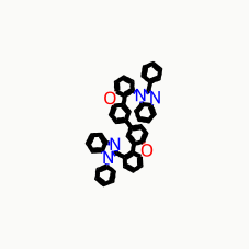 c1ccc(-c2nc3ccccc3n2-c2cccc3oc4ccc(-c5ccc6oc7cccc(-c8nc9ccccc9n8-c8ccccc8)c7c6c5)cc4c23)cc1